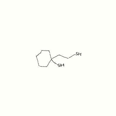 SCCC1(S)CCCCC1